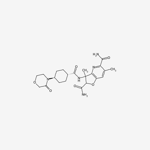 Cc1cc2c(nc1C(N)=O)C(C)(NC(=O)[C@H]1CC[C@H](N3CCOCC3=O)CC1)C(C(N)=O)O2